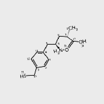 C[C@@H](C[C@@H](N)Cc1ccc(CS)cc1)C(=O)O